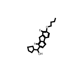 CCCCOc1ccc2c(c1F)Cc1c-2ccc(C(O)C2CCCC2)c1F